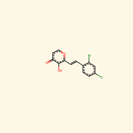 O=c1ccoc(C=Cc2ccc(Cl)cc2Br)c1O